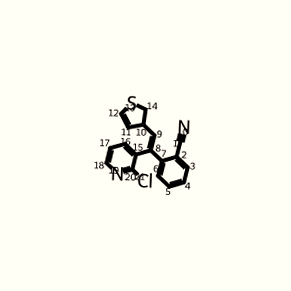 N#Cc1ccccc1C(=CC1C=CSC1)c1cccnc1Cl